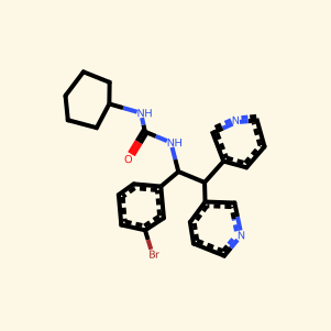 O=C(NC1CCCCC1)NC(c1cccc(Br)c1)C(c1cccnc1)c1cccnc1